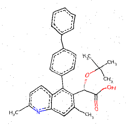 Cc1ccc2c(-c3ccc(-c4ccccc4)cc3)c([C@H](OC(C)(C)C)C(=O)O)c(C)cc2n1